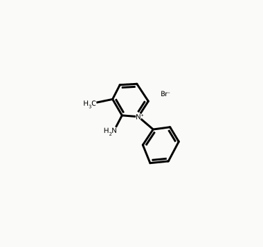 Cc1ccc[n+](-c2ccccc2)c1N.[Br-]